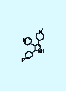 CN1CCC(c2c[nH]c(-c3ccc(F)cc3)c2-c2ccncc2)CC1